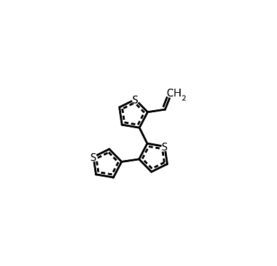 C=Cc1sccc1-c1sccc1-c1ccsc1